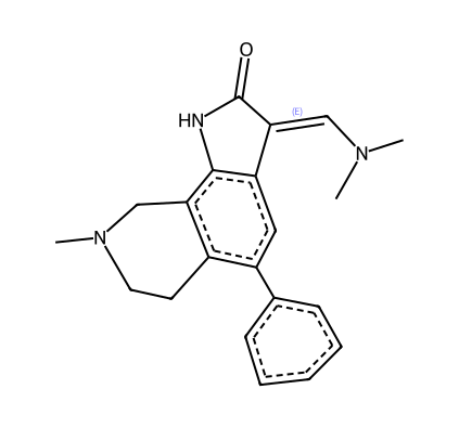 CN(C)/C=C1/C(=O)Nc2c1cc(-c1ccccc1)c1c2CN(C)CC1